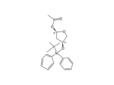 CC(=O)O[C@@H]1C[C@H](O[Si](c2ccccc2)(c2ccccc2)C(C)(C)C)CO1